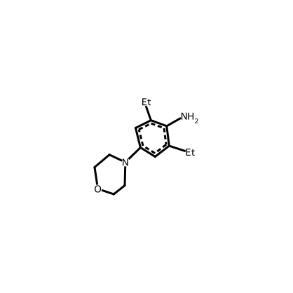 CCc1cc(N2CCOCC2)cc(CC)c1N